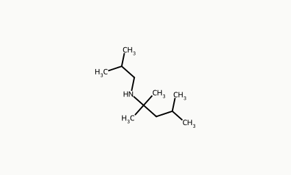 CC(C)CNC(C)(C)CC(C)C